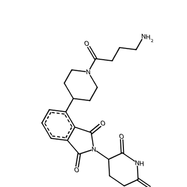 NCCCC(=O)N1CCC(c2cccc3c2C(=O)N(C2CCC(=O)NC2=O)C3=O)CC1